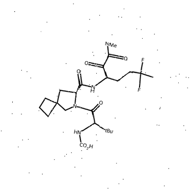 CNC(=O)C(=O)C(CCC(C)(F)F)NC(=O)[C@@H]1CC2(CCC2)CN1C(=O)C(NC(=O)O)C(C)(C)C